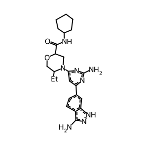 CCC1COC(C(=O)NC2CCCCC2)CN1c1cc(-c2ccc3c(N)n[nH]c3c2)nc(N)n1